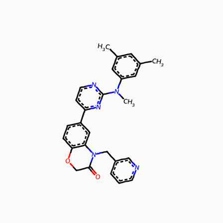 Cc1cc(C)cc(N(C)c2nccc(-c3ccc4c(c3)N(Cc3cccnc3)C(=O)CO4)n2)c1